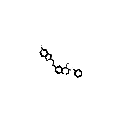 O[C@@H]1c2cc(OCc3nc4cc(F)ccc4s3)ccc2OC[C@@H]1Oc1ccccc1